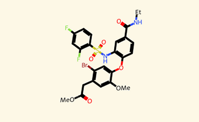 CCNC(=O)c1ccc(Oc2cc(Br)c(CC(=O)OC)cc2OC)c(NS(=O)(=O)c2ccc(F)cc2F)c1